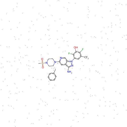 CS(=O)(=O)N1CCN(c2cc3c(N)nn(-c4cc(C(F)(F)F)c(F)c(O)c4F)c3cn2)[C@H](Cc2ccccc2)C1